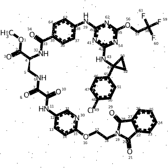 COC(=O)[C@H](CNC(=O)C(=O)Nc1ccc(OCCN2C(=O)c3ccccc3C2=O)nc1)NC(=O)c1ccc(Nc2nc(NC3(c4ccc(Cl)cc4)CC3)nc(OCC(F)(F)F)n2)cc1